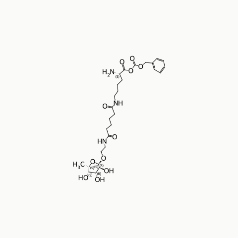 C[C@@H]1O[C@@H](OCCNC(=O)CCCCC(=O)NCCCC[C@H](N)C(=O)OC(=O)OCc2ccccc2)[C@@H](O)[C@H](O)[C@@H]1O